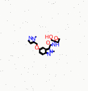 Cn1nccc1COc1ccc2nn(C)c(C(=O)NC3(CO)CCO3)c2c1